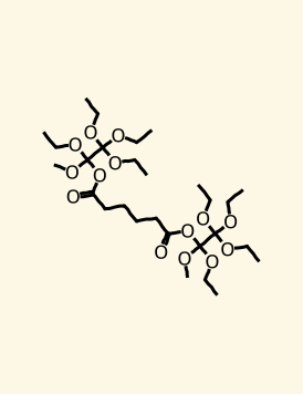 CCOC(OCC)(OCC)C(OC)(OCC)OC(=O)CCCCC(=O)OC(OC)(OCC)C(OCC)(OCC)OCC